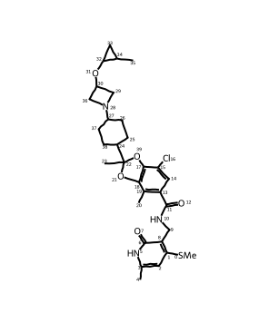 CSc1cc(C)[nH]c(=O)c1CNC(=O)c1cc(Cl)c2c(c1C)OC(C)(C1CCC(N3CC(OC4CC4C)C3)CC1)O2